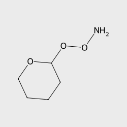 NOOC1CCCCO1